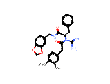 COc1ccc(CC(=O)N(C(=N)N)[C@H](Cc2ccccc2)C(=O)NCc2ccc3c(c2)OCO3)cc1OC